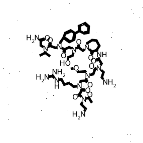 COCCN(CC(=O)N(CCN)CC(=O)NC1CCCCN(CC(=O)N(CCO)CC(=O)N(CC(=O)N(CC(N)=O)C(C)C)Cc2ccc(-c3ccccc3)cc2)C1=O)C(=O)CN(CCCCNC(N)N)C(=O)C(=O)N(CCN)C(C)=O